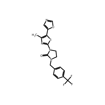 Cc1nc(N2CCN(Cc3ccc(C(F)(F)F)cc3)C2=O)sc1-c1cnco1